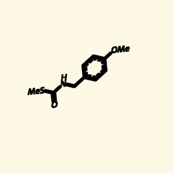 COc1ccc(CNC(=O)SC)cc1